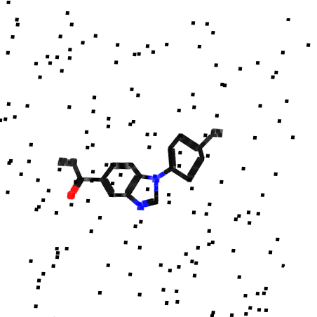 COC(=O)c1ccc2c(c1)ncn2-c1ccc(C#N)cc1